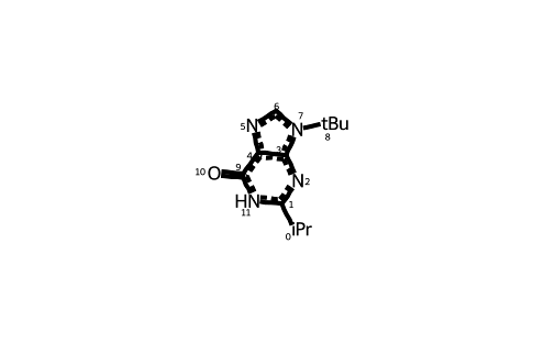 CC(C)c1nc2c(ncn2C(C)(C)C)c(=O)[nH]1